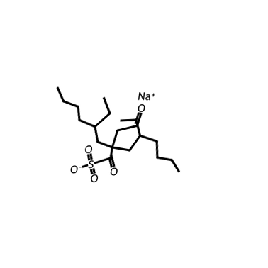 CCCCC(CC)CC(CC=O)(CC(CC)CCCC)C(=O)S(=O)(=O)[O-].[Na+]